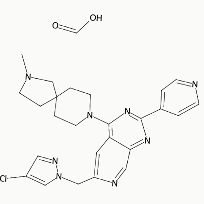 CN1CCC2(CCN(c3nc(-c4ccncc4)nc4cnc(Cn5cc(Cl)cn5)cc34)CC2)C1.O=CO